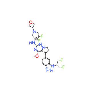 COc1nc(N[C@@H]2CN(C3COC3)CC2(F)F)nn2ccc(-c3ccc4nnn(C(CF)CF)c4c3)c12